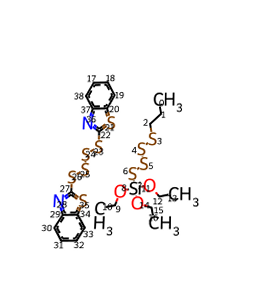 CCCSSSS[Si](OCC)(OCC)OCC.c1ccc2sc(SSSSc3nc4ccccc4s3)nc2c1